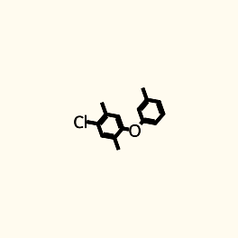 Cc1cccc(Oc2cc(C)c(Cl)cc2C)c1